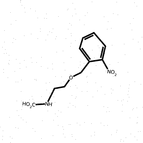 O=C(O)NCCOCc1ccccc1[N+](=O)[O-]